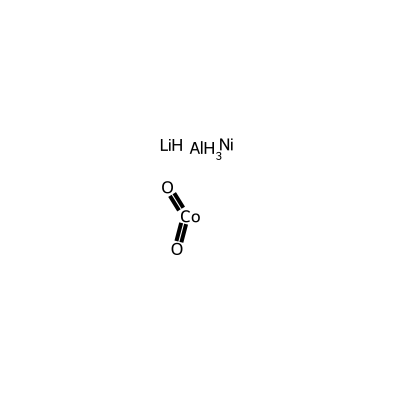 [AlH3].[LiH].[Ni].[O]=[Co]=[O]